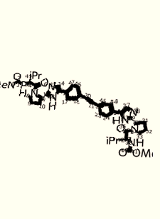 CNC(=O)P[C@H](C(=O)N1CCC[C@H]1c1ncc(-c2ccc(C#Cc3ccc(-c4cnc([C@@H]5CCCN5C(=O)[C@@H](NC(=O)OC)C(C)C)[nH]4)cc3)cc2)[nH]1)C(C)C